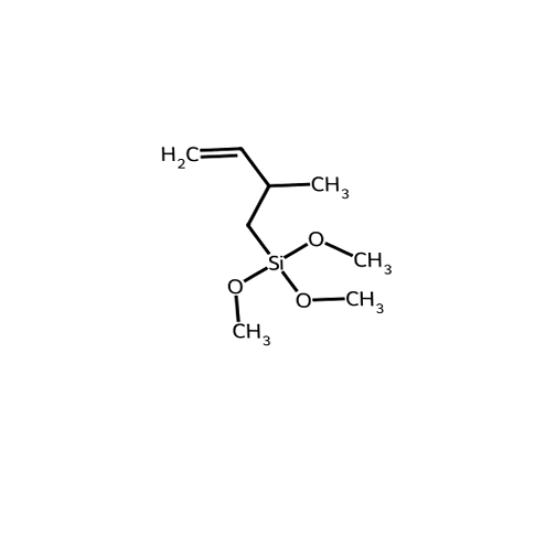 C=CC(C)C[Si](OC)(OC)OC